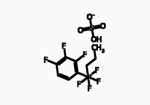 CCC[I+](F)(F)(F)(F)c1ccc(F)c(F)c1F.O=S(=O)([O-])O